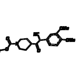 COc1ccc(C(C#N)C(=O)C2CCN(C(=O)OC(C)(C)C)CC2)cc1OC